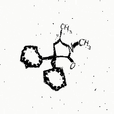 C[C@@H]1CC(c2ccccc2)(c2ccccc2)C(=O)N1C